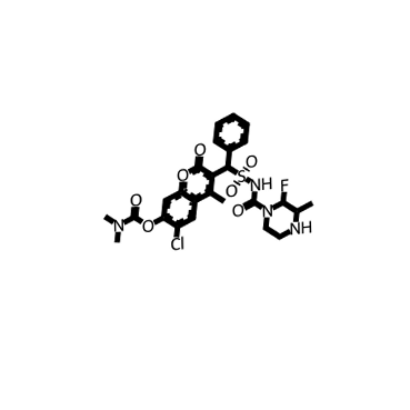 Cc1c(C(c2ccccc2)S(=O)(=O)NC(=O)N2CCNC(C)C2F)c(=O)oc2cc(OC(=O)N(C)C)c(Cl)cc12